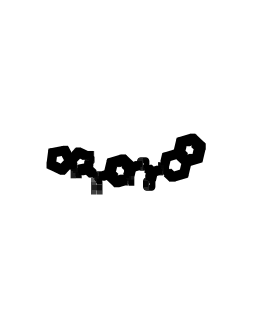 O=C(Oc1ccc(NC2=NC3(CCCC3)CS2)cn1)N1CCc2ccccc2C1